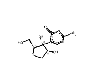 Nc1ncn([C@]2(O)[C@H](CO)OC[C@@H]2O)c(=O)n1